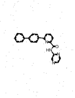 O=C(Nc1cnccn1)c1cccc(-c2ccc(-c3ccccc3)cc2)n1